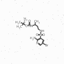 CC(CCNS(=O)(=O)c1cc(Br)cnc1N)NC(=O)OC(C)(C)C